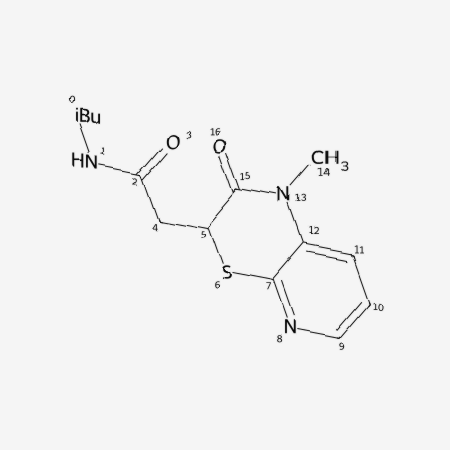 CCC(C)NC(=O)CC1Sc2ncccc2N(C)C1=O